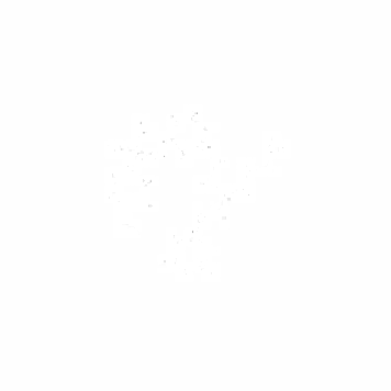 Cc1ccc(S(=O)(=O)O)cc1.OCCCC(COc1ccccc1)OCc1ccccc1